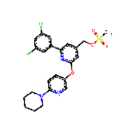 CS(=O)(=O)OCc1cc(Oc2ccc(N3CCCCC3)nc2)nc(-c2cc(Cl)cc(Cl)c2)c1